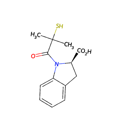 CC(C)(S)C(=O)N1c2ccccc2C[C@@H]1C(=O)O